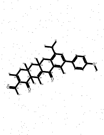 COc1ccc(-c2cc(C(C)C)c3c(c2C)C(=O)C2=C(C)C4(C)C(=O)C(C(C)=O)=C(C)CC4(C)CC2(C)C3)cc1